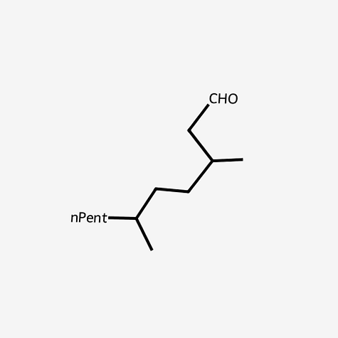 CCCCCC(C)CCC(C)CC=O